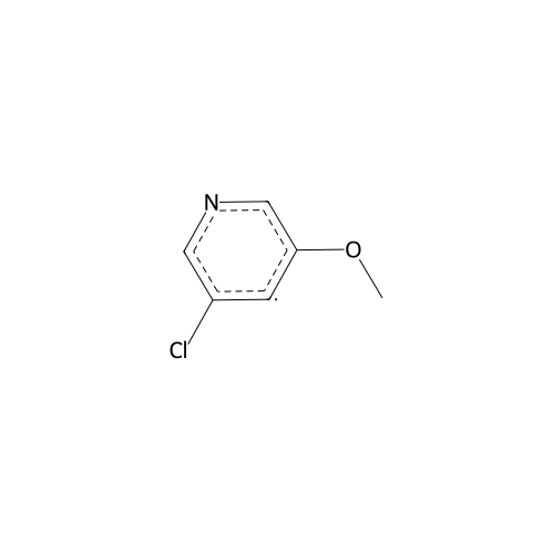 COc1[c]c(Cl)cnc1